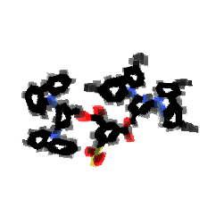 CC(C)(C)c1ccc2c(c1)c1cc(C(C)(C)C)ccc1n2-c1cc(COC(=O)c2cc(C(=O)OCc3cc(-n4c5ccccc5c5ccccc54)cc(-n4c5ccccc5c5ccccc54)c3)cc([SH](=O)=O)c2)cc(-n2c3ccc(C(C)(C)C)cc3c3cc(C(C)(C)C)ccc32)n1